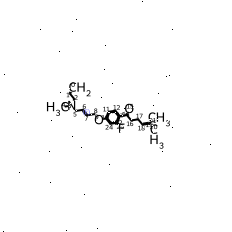 C=CCN(C)C/C=C/COc1ccc(C(=O)CCC=C(C)C)c(F)c1